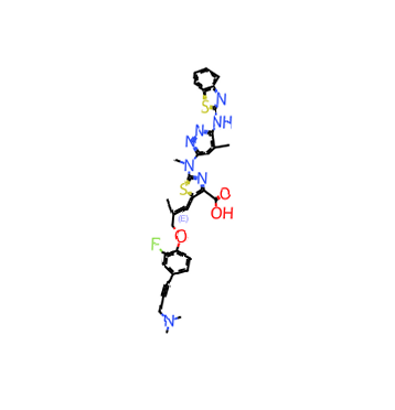 C/C(=C\c1sc(N(C)c2cc(C)c(Nc3nc4ccccc4s3)nn2)nc1C(=O)O)COc1ccc(C#CCN(C)C)cc1F